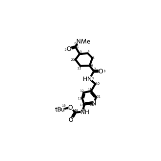 CNC(=O)C1CCC(C(=O)NCc2ccc(NC(=O)OC(C)(C)C)nc2)CC1